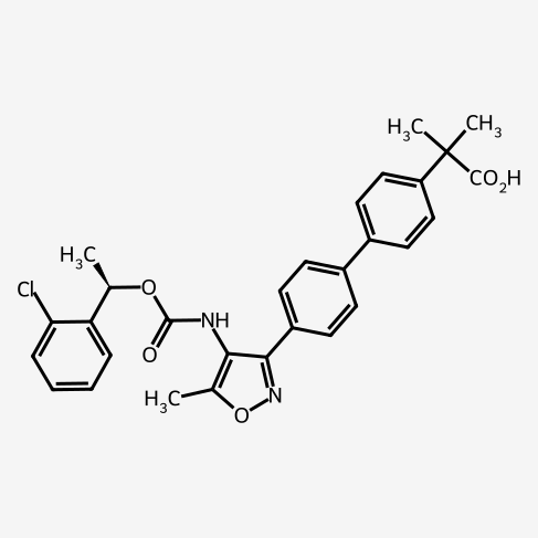 Cc1onc(-c2ccc(-c3ccc(C(C)(C)C(=O)O)cc3)cc2)c1NC(=O)O[C@H](C)c1ccccc1Cl